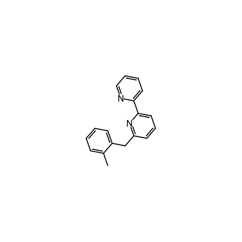 Cc1ccccc1Cc1cccc(-c2ccccn2)n1